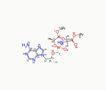 CC(C)OC(=O)[C@H](C)O[P@@](=O)(CO[C@H](C)Cn1cnc2c(N)ncnc21)NC(C)(C)C(=O)OC(C)C